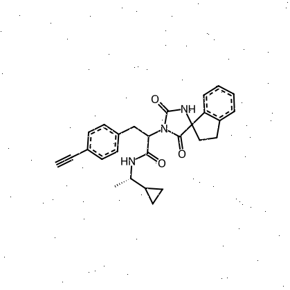 C#Cc1ccc(CC(C(=O)N[C@@H](C)C2CC2)N2C(=O)NC3(CCc4ccccc43)C2=O)cc1